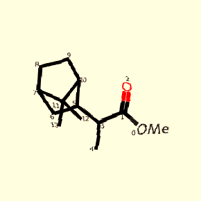 COC(=O)C(C)C1CC2CCC1C2(C)C